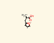 C=C(Cc1ccco1)C(=O)O